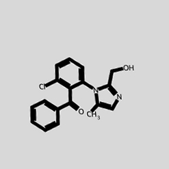 Cc1cnc(CO)n1-c1cccc(Cl)c1C(=O)c1ccccc1